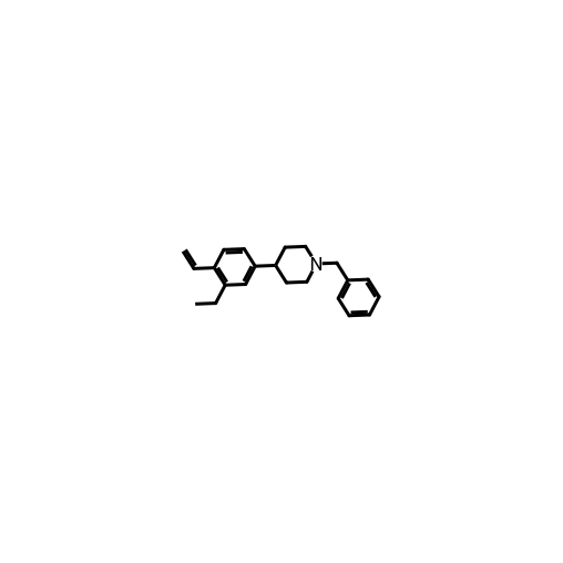 C=Cc1ccc(C2CCN(Cc3ccccc3)CC2)cc1CC